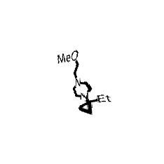 CCC1(N2CCN(CCOC)CC2)CC1